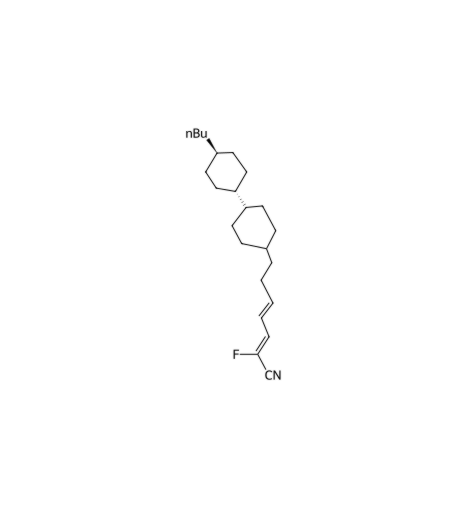 CCCC[C@H]1CC[C@H](C2CCC(CCC=CC=C(F)C#N)CC2)CC1